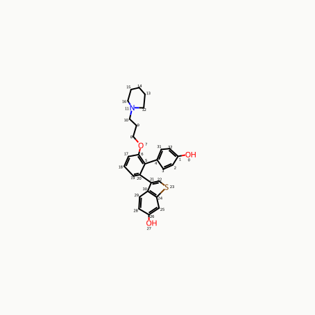 Oc1ccc(-c2c(OCCCN3CCCCC3)cccc2-c2csc3cc(O)ccc23)cc1